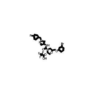 O=C(Nc1cnn(Cc2ccc(F)cc2)c1)N1CCOC(COc2cccc(Br)c2)C1.O=C(O)C(F)(F)F